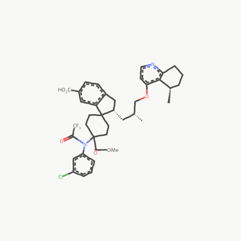 COC(=O)C1(N(C(=O)C(F)(F)F)c2cccc(Cl)c2)CCC2(CC1)c1cc(C(=O)O)ccc1C[C@@H]2C[C@@H](C)COc1ccnc2c1[C@H](C)CCC2